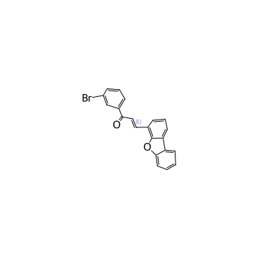 O=C(/C=C/c1cccc2c1oc1ccccc12)c1cccc(Br)c1